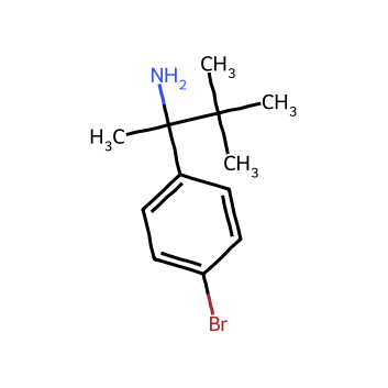 CC(C)(C)C(C)(N)c1ccc(Br)cc1